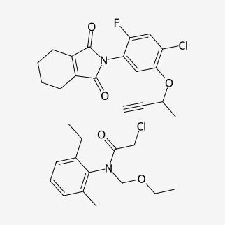 C#CC(C)Oc1cc(N2C(=O)C3=C(CCCC3)C2=O)c(F)cc1Cl.CCOCN(C(=O)CCl)c1c(C)cccc1CC